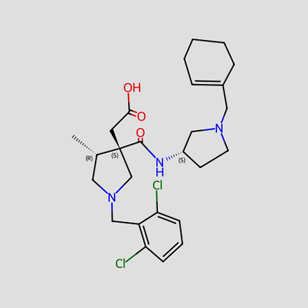 C[C@H]1CN(Cc2c(Cl)cccc2Cl)C[C@@]1(CC(=O)O)C(=O)N[C@H]1CCN(CC2=CCCCC2)C1